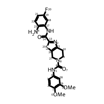 COc1ccc(NC(=O)N2CCc3nc(C(=O)Nc4cc(F)ccc4N)sc3C2)cc1OC